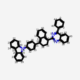 c1ccc(-c2nc(C3=c4ccccc4=C(c4ccc(-n5c6ccccc6c6ccccc65)cc4)CC3)nc3ccccc23)cc1